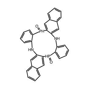 O=[PH]1c2ccccc2Nc2cc3ccccc3cc2[PH](=O)c2ccccc2Nc2cc3ccccc3cc21